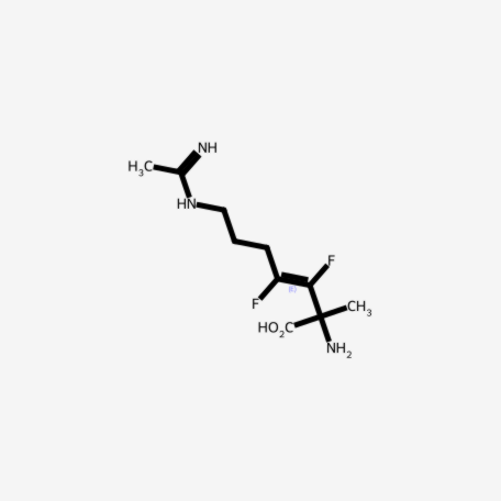 CC(=N)NCCC/C(F)=C(\F)C(C)(N)C(=O)O